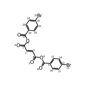 O=C(/C=C/C(=O)OC(=O)c1ccc(Br)cc1)OC(=O)c1ccc(Br)cc1